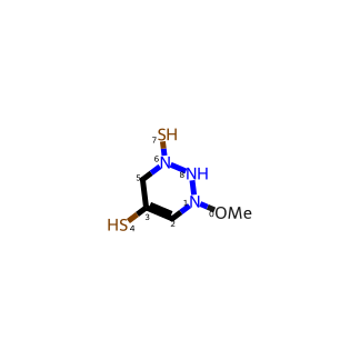 CON1C=C(S)CN(S)N1